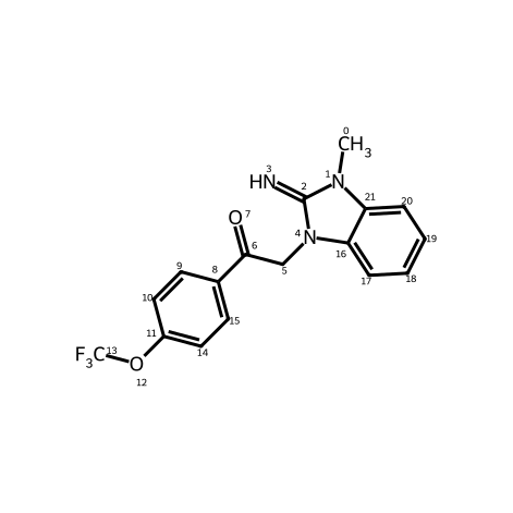 Cn1c(=N)n(CC(=O)c2ccc(OC(F)(F)F)cc2)c2ccccc21